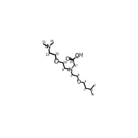 CC(C)CCOCCN(CCOCCN(C)C)CC(=O)O